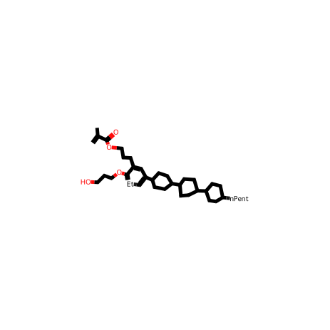 C=C(C)C(=O)OCCC/C(=C/C(=C\CC)C1CCC(C2CCC(C3CCC(CCCCC)CC3)CC2)CC1)C(=C)OCCCO